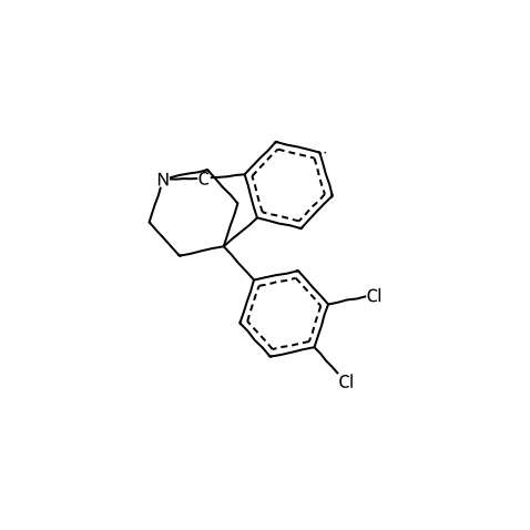 Clc1ccc(C23CCN(CC2)Cc2c[c]ccc23)cc1Cl